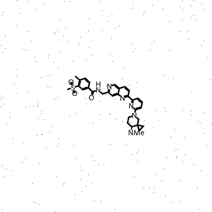 CN[C@H]1CCN(c2cccc(-c3ccc4cnc(CNC(=O)c5ccc(C)c(S(C)(=O)=O)c5)cc4n3)n2)CC12CC2